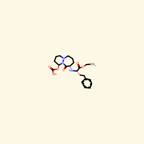 CCOC(=O)[C@H](CCc1ccccc1)N[C@H]1CCCN2CCC[C@H](OC(=O)O)N2C1=O